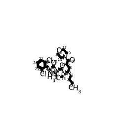 CCCC[C@H](CCC(=O)N1CCOCC1)N(CC)C(=O)n1nnn(-c2c(Cl)cccc2Cl)c1=O